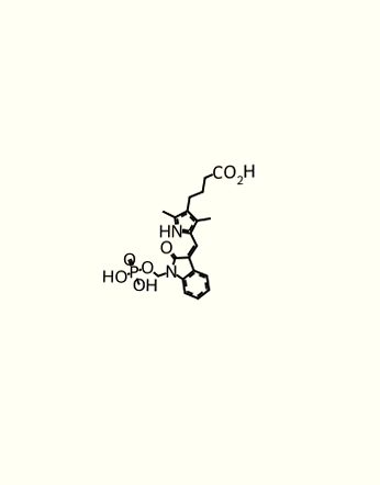 Cc1[nH]c(/C=C2\C(=O)N(COP(=O)(O)O)c3ccccc32)c(C)c1CCCC(=O)O